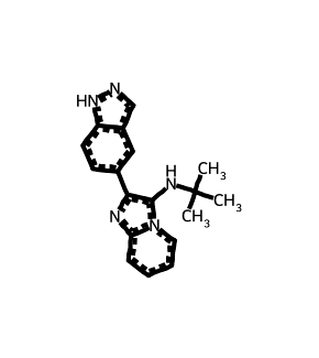 CC(C)(C)Nc1c(-c2ccc3[nH]ncc3c2)nc2ccccn12